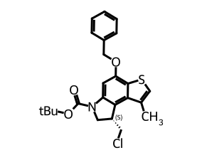 Cc1csc2c(OCc3ccccc3)cc3c(c12)[C@H](CCl)CN3C(=O)OC(C)(C)C